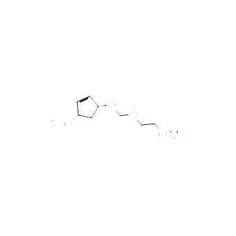 COCCOCO[C@@H]1C=C[C@H](OC(C)=O)C1